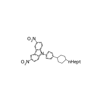 CCCCCCCC1CCC(c2ccc(-n3c4ccc([N+](=O)[O-])cc4c4cc([N+](=O)[O-])ccc43)cc2)CC1